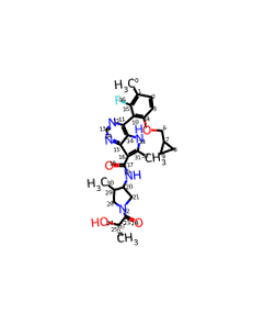 Cc1ccc(OCC2CC2)c(-c2ncnc3c(C(=O)NC4CN(C(=O)[C@H](C)O)CC4C)c(C)[nH]c23)c1F